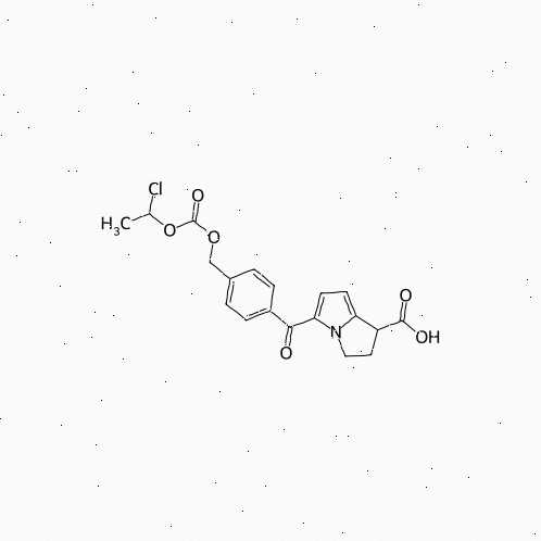 CC(Cl)OC(=O)OCc1ccc(C(=O)c2ccc3n2CCC3C(=O)O)cc1